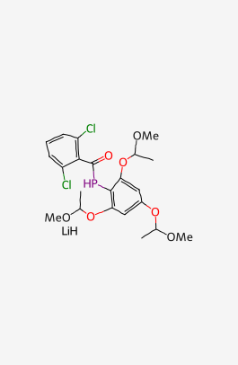 COC(C)Oc1cc(OC(C)OC)c(PC(=O)c2c(Cl)cccc2Cl)c(OC(C)OC)c1.[LiH]